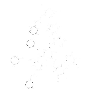 CCC1O[C@@H](O[C@@H]2C(OCc3ccccc3)[C@H](O[C@@H]3C(COCc4ccccc4)O[C@@H](OCc4ccccc4)C(C)[C@H]3C)OC(CO[C@H]3OC(CC)[C@@H](C)[C@H](C)C3O[C@@H]3OC(CC)[C@@H](C)[C@H](C)C3C)[C@H]2O)[C@@H](O[C@@H]2OC(CC)[C@@H](O[C@@H]3OC(COCc4ccccc4)[C@H](C)[C@H](C)C3OC(C)=O)[C@H](C)C2C)C(C)[C@H]1C